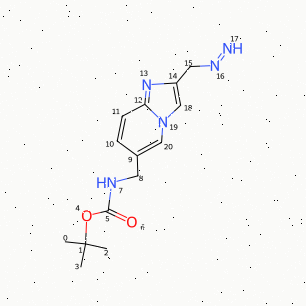 CC(C)(C)OC(=O)NCc1ccc2nc(CN=N)cn2c1